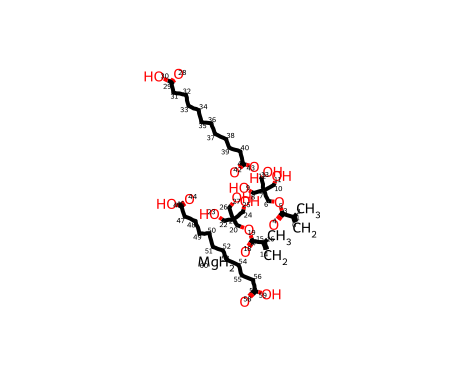 C=C(C)C(=O)OCC(CO)(CO)CO.C=C(C)C(=O)OCC(CO)(CO)CO.O=C(O)CCCCCCCCCCC(=O)O.O=C(O)CCCCCCCCCCC(=O)O.[MgH2]